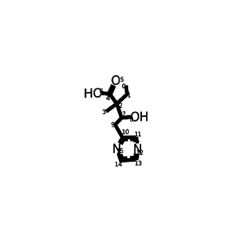 CCC(C)(C(=O)O)C(O)Cc1cnccn1